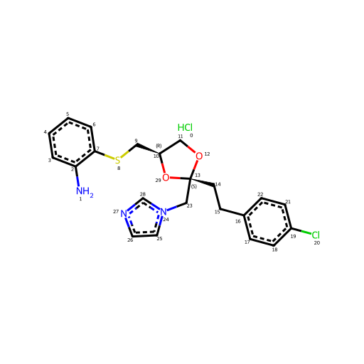 Cl.Nc1ccccc1SC[C@H]1CO[C@](CCc2ccc(Cl)cc2)(Cn2ccnc2)O1